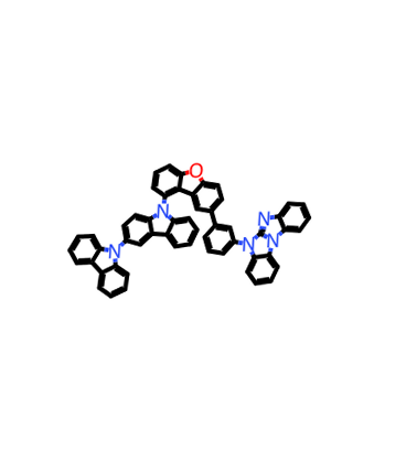 c1cc(-c2ccc3oc4cccc(-n5c6ccccc6c6cc(-n7c8ccccc8c8ccccc87)ccc65)c4c3c2)cc(-n2c3ccccc3n3c4ccccc4nc23)c1